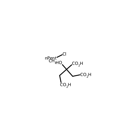 C.CCCCCCl.O=C(O)CC(O)(CC(=O)O)C(=O)O